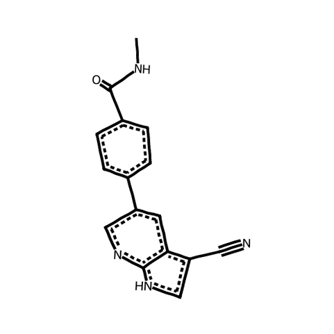 CNC(=O)c1ccc(-c2cnc3[nH]cc(C#N)c3c2)cc1